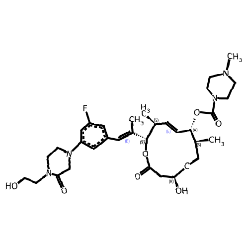 C/C(=C\c1cc(F)cc(N2CCN(CCO)C(=O)C2)c1)[C@H]1OC(=O)C[C@H](O)CC[C@H](C)[C@@H](OC(=O)N2CCN(C)CC2)/C=C/[C@@H]1C